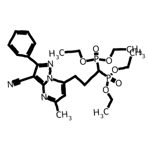 CCOP(=O)(OCC)C(CCc1cc(C)nc2c(C#N)c(-c3ccccc3)nn12)P(=O)(OCC)OCC